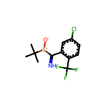 CC(C)(C)[S+]([O-])C(=N)c1cc(Cl)[c]cc1C(F)(F)F